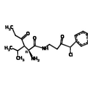 CCC(=O)C(C(C)C)[C@H](N)C(=O)NCCC(=O)C(Cl)c1ccccc1